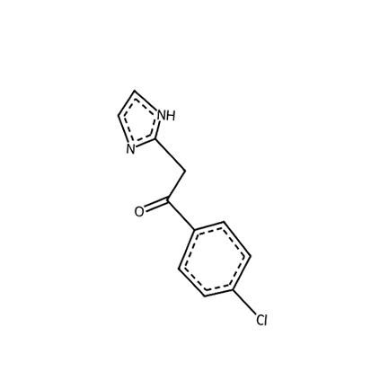 O=C(Cc1ncc[nH]1)c1ccc(Cl)cc1